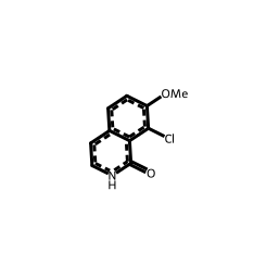 COc1ccc2cc[nH]c(=O)c2c1Cl